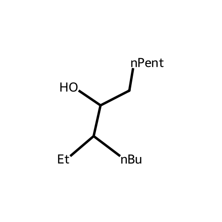 CCCCCCC(O)C(CC)CCCC